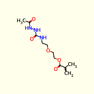 C=C(C)C(=O)OCCOCCNC(=O)NNC(C)=O